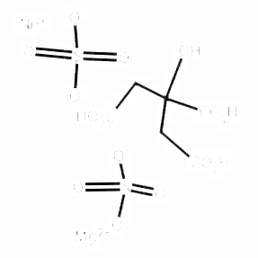 O=C(O)CC(O)(CC(=O)O)C(=O)O.O=S(=O)([O-])[O-].O=S(=O)([O-])[O-].[Mg+2].[Ni+2]